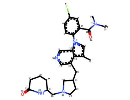 Cc1cn(-c2ccc(F)cc2C(=O)N(C)C(C)C)c2cncc(CC3CCN(CC4CCCC(=O)N4)C3)c12